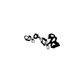 O=C(c1c2ccccc2cc2ccccc12)N1CCN([C@H]2CCC[C@@H](C(=O)N3CCOCC3)C2)CC1